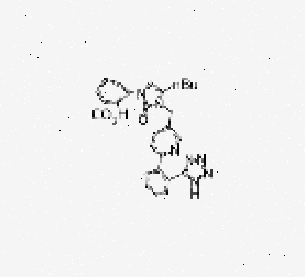 CCCCc1cn(-c2ccccc2C(=O)O)c(=O)n1Cc1ccc(-c2ccccc2-c2nnn[nH]2)nc1